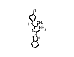 C=C/C(=N\C(=C/N)n1cc2ccccc2n1)Nc1ccc(Cl)cc1